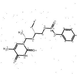 Cc1cn([C@H](C)O[C@H](CF)CO[PH](=O)Oc2ccccc2)c(=O)[nH]c1=O